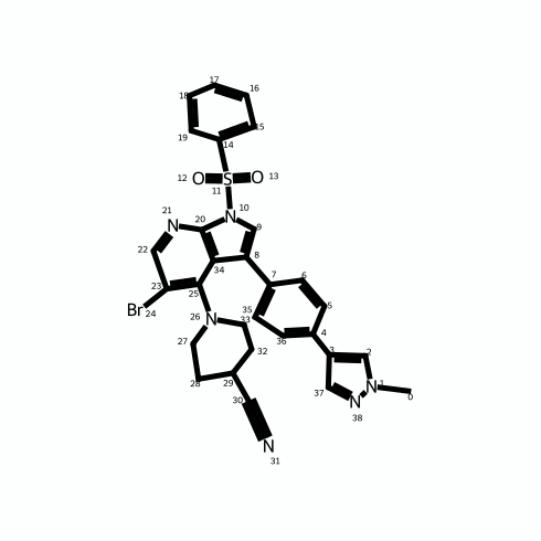 Cn1cc(-c2ccc(-c3cn(S(=O)(=O)c4ccccc4)c4ncc(Br)c(N5CCC(C#N)CC5)c34)cc2)cn1